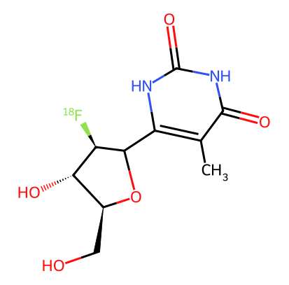 Cc1c(C2O[C@@H](CO)[C@H](O)[C@H]2[18F])[nH]c(=O)[nH]c1=O